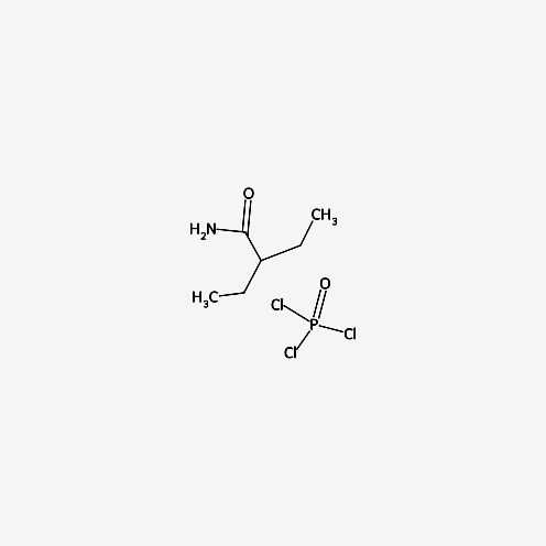 CCC(CC)C(N)=O.O=P(Cl)(Cl)Cl